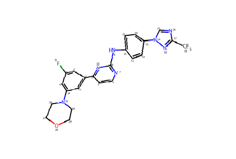 Fc1cc(-c2ccnc(Nc3ccc(-n4cnc(C(F)(F)F)n4)cc3)n2)cc(N2CCOCC2)c1